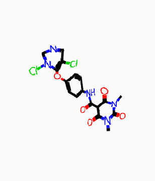 CN1C(=O)C(C(=O)Nc2ccc(OC3=C(Cl)C=NCN3Cl)cc2)C(=O)N(C)C1=O